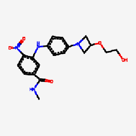 CNC(=O)c1ccc([N+](=O)[O-])c(Nc2ccc(N3CC(OCCO)C3)cc2)c1